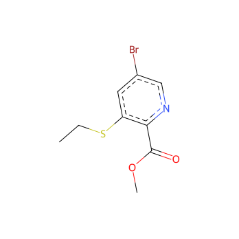 CCSc1cc(Br)cnc1C(=O)OC